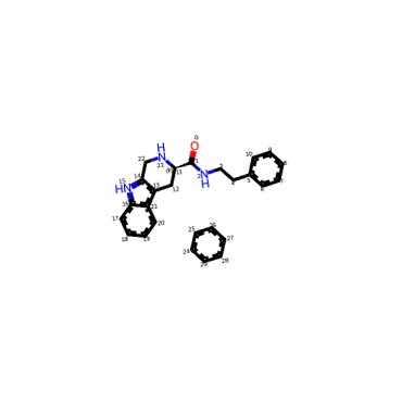 O=C(NCCc1ccccc1)[C@H]1Cc2c([nH]c3ccccc23)CN1.[c]1ccccc1